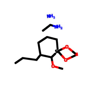 CCCC1CCC[Si](OC)(OC)C1OC.CCN.N